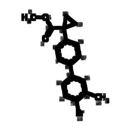 COC(=O)C1(c2ccc(-c3ccc(Br)c(C)c3)cc2)CC1